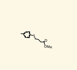 COC(=O)CCCSc1ccc(C)cc1